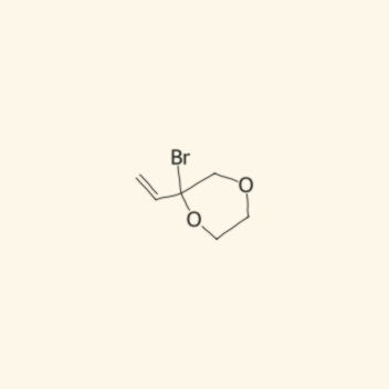 C=CC1(Br)COCCO1